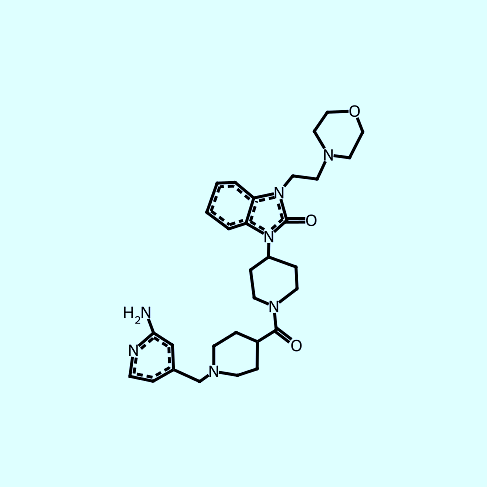 Nc1cc(CN2CCC(C(=O)N3CCC(n4c(=O)n(CCN5CCOCC5)c5ccccc54)CC3)CC2)ccn1